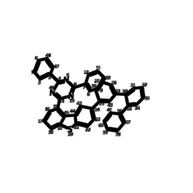 c1ccc(-c2nc(-c3ccccc3)nc(-c3cccc4sc5ccc(-c6cccc(-c7ccccc7-c7ccccc7)c6)cc5c34)n2)cc1